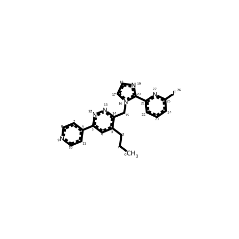 CCCc1cc(-c2ccncc2)nnc1Cn1ccnc1-c1cccc(F)n1